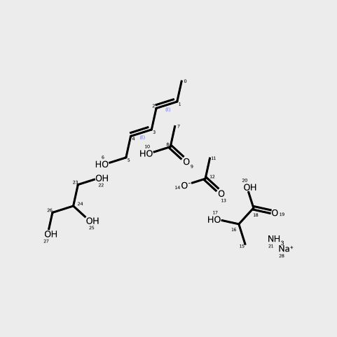 C/C=C/C=C/CO.CC(=O)O.CC(=O)[O-].CC(O)C(=O)O.N.OCC(O)CO.[Na+]